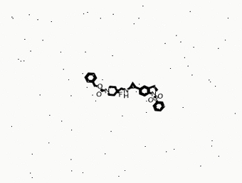 O=C(OCc1ccccc1)N1CCC(F)(CNC2CC2c2ccc3c(c2)CCN3S(=O)(=O)c2ccccc2)CC1